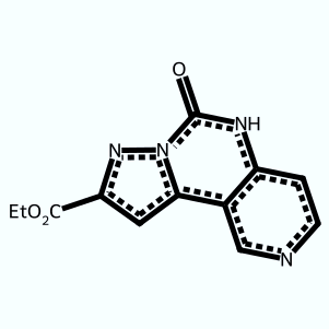 CCOC(=O)c1cc2c3cnccc3[nH]c(=O)n2n1